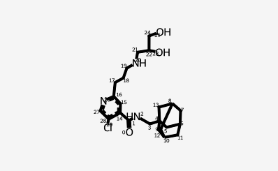 O=C(NCC12CC3CC(CC(C3)C1)C2)c1cc(CCCNCC(O)CO)ncc1Cl